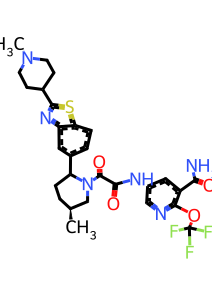 C[C@H]1CCC(c2ccc3sc(C4CCN(C)CC4)nc3c2)N(C(=O)C(=O)Nc2cnc(OC(F)(F)F)c(C(N)=O)c2)C1